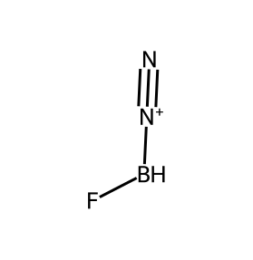 N#[N+]BF